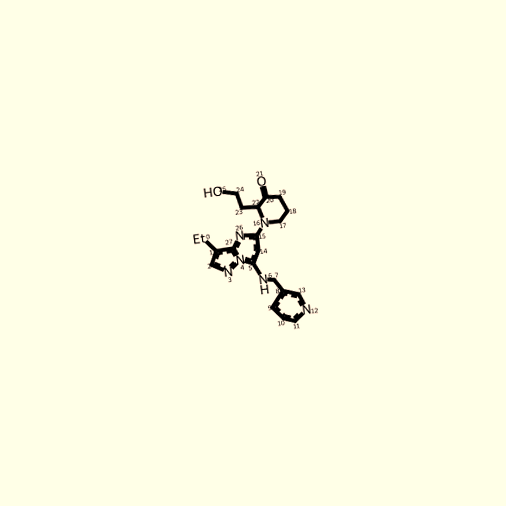 CCc1cnn2c(NCc3cccnc3)cc(N3CCCC(=O)C3CCO)nc12